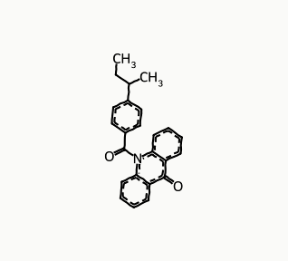 CCC(C)c1ccc(C(=O)n2c3ccccc3c(=O)c3ccccc32)cc1